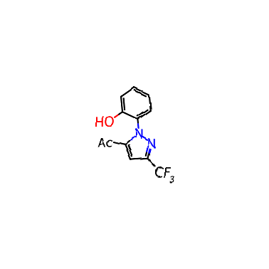 CC(=O)c1cc(C(F)(F)F)nn1-c1ccccc1O